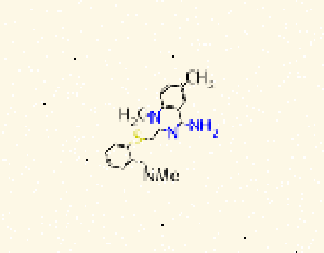 C=Nc1ccc(C)cc1/C(N)=N\CCSc1ccccc1CNC